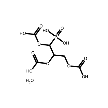 O.O=C(O)OCC(OC(=O)O)C(OC(=O)O)P(=O)(O)O